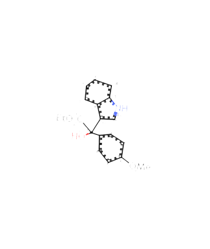 CCOC(=O)C(O)(c1ccc(OC)cc1)c1c[nH]c2ccccc12